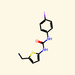 CCc1ccc(NC(=O)Nc2ccc(I)cc2)s1